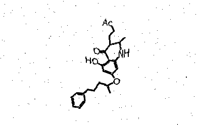 CC(=O)CCC1C(=O)c2c(O)cc(OC(C)CCCc3ccccc3)cc2NC1C